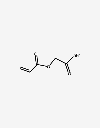 C=CC(=O)OCC(=O)CCC